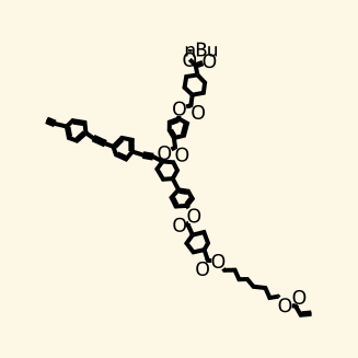 C#Cc1ccc(C#Cc2ccc(C#CC3(OC(=O)c4ccc(OC(=O)C5CCC(C(=O)OCCCC)CC5)cc4)CCC(c4ccc(OC(=O)C5CCC(C(=O)OCCCCCCCCOC(=O)C=C)CC5)cc4)CC3)cc2)cc1